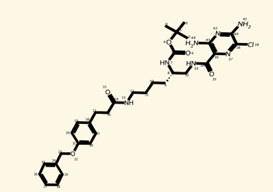 CC(C)(C)OC(=O)N[C@@H](CCCCNC(=O)CCc1ccc(OCc2ccccc2)cc1)CNC(=O)c1nc(Cl)c(N)nc1N